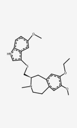 CCOc1cc2c(cc1OC)CCN(C)[C@@H](CSc1c[nH]c3ccc(OC)cc13)C2